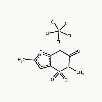 Cc1cc2c(o1)CC(=O)N(C)S2(=O)=O.ClP(Cl)(Cl)(Cl)Cl